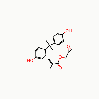 C=C(C)C(=O)OCC1CO1.CC(C)(c1ccc(O)cc1)c1ccc(O)cc1